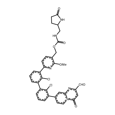 COc1nc(-c2cccc(-c3cccc(-c4ccn5c(=O)cc(C=O)nc5c4)c3Cl)c2Cl)ccc1COC(=O)NCC1CCC(=O)N1